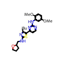 CCC(C)c1nc(NCC2CCCO2)sc1-c1ccnc(Nc2cc(OC)ccc2OC)n1